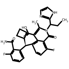 CCC(c1ncc[nH]1)n1c(C)c(C(=O)O)c2c([C@@H](c3cccc(F)c3C(N)=O)C3CCC3)ccc(F)c2c1=O